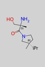 CC(C)[C@@]1(C)CCN(C(=O)[C@@](C)(N)CO)C1